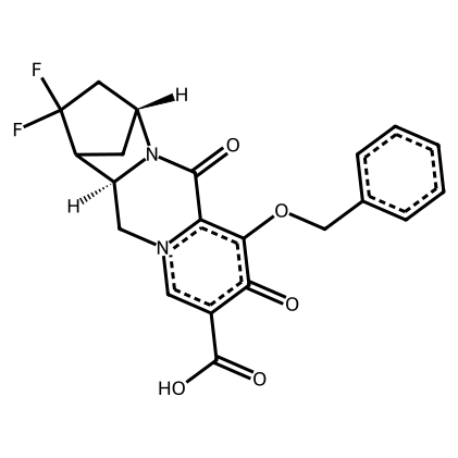 O=C(O)c1cn2c(c(OCc3ccccc3)c1=O)C(=O)N1[C@@H]3CC([C@@H]1C2)C(F)(F)C3